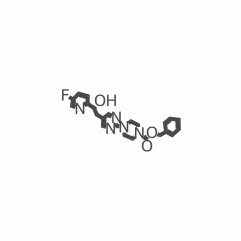 O=C(OCc1ccccc1)N1CCN(c2ncc(CC(O)c3ccc(F)cn3)cn2)CC1